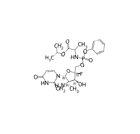 C=C1NC(=O)C=CN1[C@@H]1O[C@](F)(COP(=O)(NC(C)C(=O)OC(C)C)Oc2ccccc2)[C@@H](O)[C@@]1(C)N